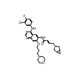 O=C(/C=C/CN1CC2CC2C1)Nc1cc2c(Nc3ccc(F)c(Cl)c3)ncnc2cc1OCCCN1CCOCC1